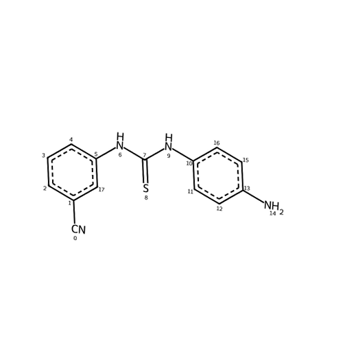 N#Cc1cccc(NC(=S)Nc2ccc(N)cc2)c1